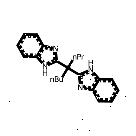 CCCCC(CCC)(c1nc2ccccc2[nH]1)c1nc2ccccc2[nH]1